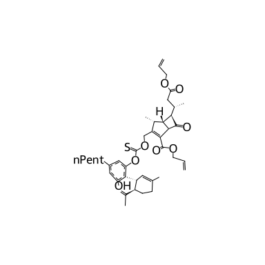 C=CCOC(=O)C[C@H](C)[C@H]1C(=O)C2C(C(=O)OCC=C)=C(COC(=S)Oc3cc(CCCCC)cc(O)c3[C@@H]3C=C(C)CC[C@H]3C(=C)C)[C@H](C)[C@@H]21